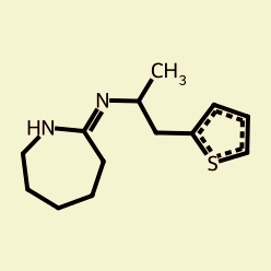 CC(Cc1cccs1)N=C1CCCCCN1